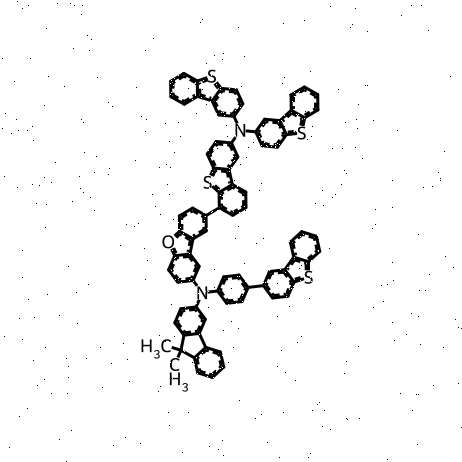 CC1(C)c2ccccc2-c2cc(N(c3ccc(-c4ccc5sc6ccccc6c5c4)cc3)c3ccc4oc5ccc(-c6cccc7c6sc6ccc(N(c8ccc9sc%10ccccc%10c9c8)c8ccc9sc%10ccccc%10c9c8)cc67)cc5c4c3)ccc21